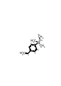 C=Cc1ccc([Si](C)(C)OC)cc1